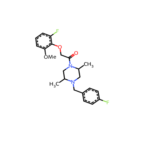 COc1cccc(F)c1OCC(=O)N1CC(C)N(Cc2ccc(F)cc2)CC1C